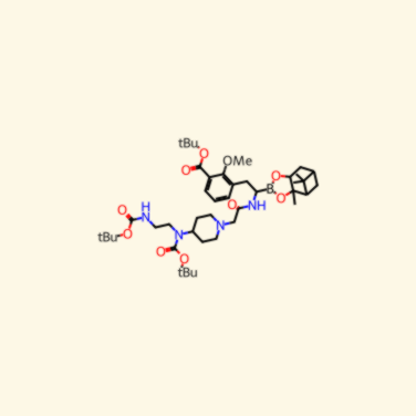 COc1c(CC(NC(=O)CN2CCC(N(CCNC(=O)OC(C)(C)C)C(=O)OC(C)(C)C)CC2)B2OC3CC4CC(C4(C)C)C3(C)O2)cccc1C(=O)OC(C)(C)C